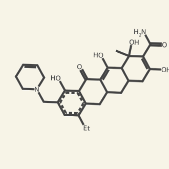 CCc1cc(CN2CC=CCC2)c(O)c2c1CC1CC3CC(O)=C(C(N)=O)C(C)(O)C3C(O)=C1C2=O